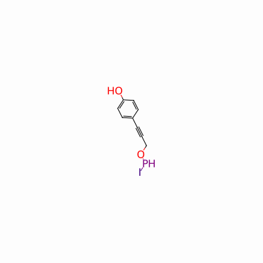 Oc1ccc(C#CCOPI)cc1